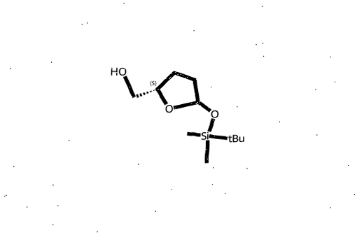 CC(C)(C)[Si](C)(C)OC1CC[C@@H](CO)O1